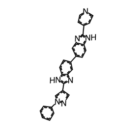 c1ccc(-n2cc(-c3nc4cc(-c5ccc6[nH]c(-c7ccncc7)nc6c5)ccc4[nH]3)cn2)cc1